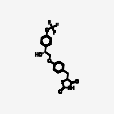 O=C1NC(=O)C(Cc2ccc(OC[C@H](O)c3ccc(OC(F)(F)F)cc3)cc2)S1